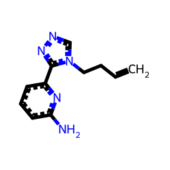 C=CCCn1cnnc1-c1cccc(N)n1